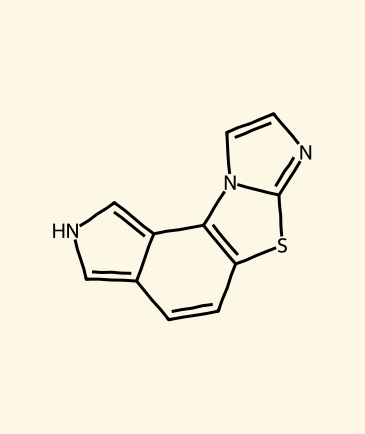 c1cn2c(n1)sc1ccc3c[nH]cc3c12